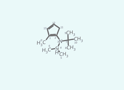 CC1=C(N([SiH](C)C)C(C)(C)C)CC=C1